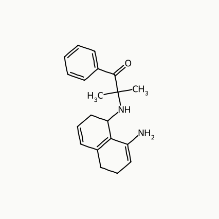 CC(C)(NC1CC=CC2=C1C(N)=CCC2)C(=O)c1ccccc1